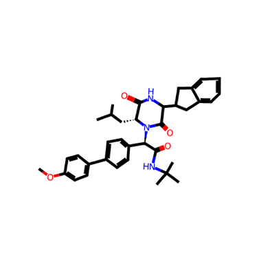 COc1ccc(-c2ccc([C@H](C(=O)NC(C)(C)C)N3C(=O)C(C4Cc5ccccc5C4)NC(=O)[C@H]3CC(C)C)cc2)cc1